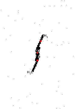 CCCCCCCCCCCCc1ccc(OC(=O)c2ccc(C(=O)Oc3ccc(CCCCCCCCCCCC)cc3)cc2)cc1